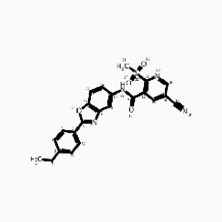 CCc1ccc(-c2nc3cc(NC(=O)c4cc(C#N)cnc4S(C)(=O)=O)ccc3o2)cc1